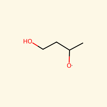 CC([O])CCO